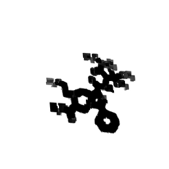 CCCN1Cc2c(C(=O)NC(C(=O)NC)C(C)(C)C)nc(-c3ccccc3)n2CC1C(N)=O